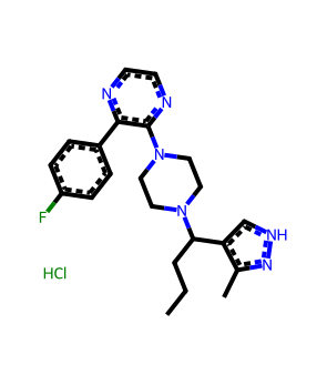 CCCC(c1c[nH]nc1C)N1CCN(c2nccnc2-c2ccc(F)cc2)CC1.Cl